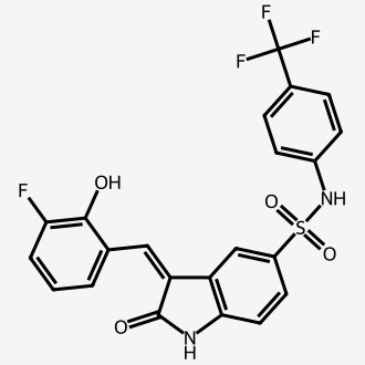 O=C1Nc2ccc(S(=O)(=O)Nc3ccc(C(F)(F)F)cc3)cc2C1=Cc1cccc(F)c1O